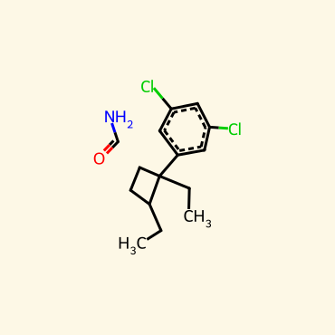 CCC1CCC1(CC)c1cc(Cl)cc(Cl)c1.NC=O